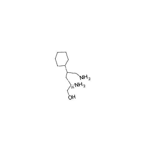 NCC(C[C@H](N)CO)C1CCCCC1